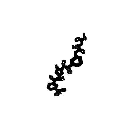 COC(=O)CNC(=O)Cc1cccc(NC(=O)c2cc(NC(=O)c3cccc([N+](=O)[O-])c3)cn2C)c1